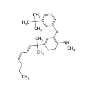 CCC/C=C\C=C\C(C)(C)C1=CC(Sc2cccc(C(C)(C)C)c2)=C(NC)CC1